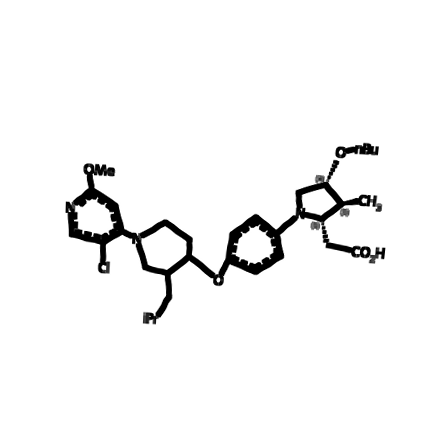 CCCCO[C@H]1CN(c2ccc(OC3CCN(c4cc(OC)ncc4Cl)CC3CC(C)C)cc2)[C@@H](CC(=O)O)[C@@H]1C